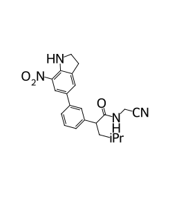 CC(C)CC(C(=O)NCC#N)c1cccc(-c2cc3c(c([N+](=O)[O-])c2)NCC3)c1